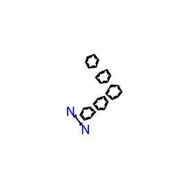 N#CC#N.c1ccccc1.c1ccccc1.c1ccccc1.c1ccccc1.c1ccccc1